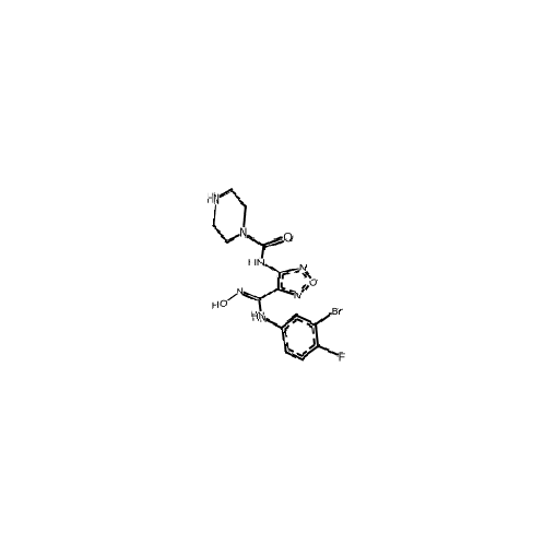 O=C(Nc1nonc1/C(=N/O)Nc1ccc(F)c(Br)c1)N1CCNCC1